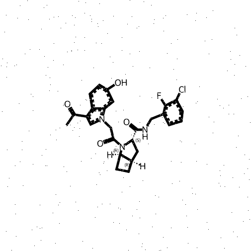 CC(=O)c1cn(CC(=O)N2[C@@H]3CC[C@@H]3C[C@H]2C(=O)NCc2cccc(Cl)c2F)c2cc(O)ccc12